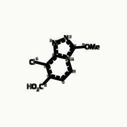 COc1nnc2c(Cl)c(C(=O)O)ccn12